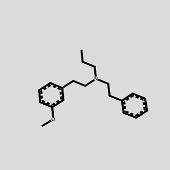 CCCN(CCc1ccccc1)CCc1cccc(OC)c1